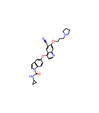 N#Cc1cc2c(Oc3ccc4c(ccn4C(=O)NC4CC4)c3)ccnc2cc1OCCCN1CCCC1